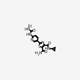 CCNC(=O)Nc1ccc(-c2nc(C(=O)NC3CC3)c(C(N)=O)s2)cn1